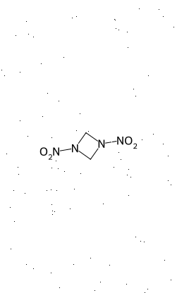 O=[N+]([O-])N1CN([N+](=O)[O-])C1